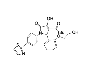 CC(C)(C)C(=O)C1=C(O)C(=O)N(c2ccc(-c3nccs3)cc2)C1c1ccccc1OCCO